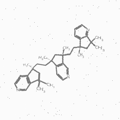 CC1(C)C[C@](C)(CC[C@@]2(C)C[C@](C)(CC[C@@]3(C)CC(C)(C)c4ncccc43)c3cnccc32)c2ccncc21